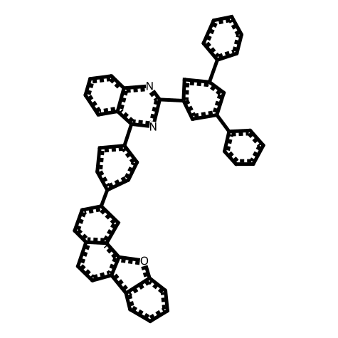 c1ccc(-c2cc(-c3ccccc3)cc(-c3nc(-c4ccc(-c5ccc6ccc7c8ccccc8oc7c6c5)cc4)c4ccccc4n3)c2)cc1